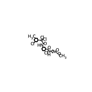 COCC(=O)N1CC(NC(=O)c2cc(NC(=O)C3C(c4cc(C)cc(Cl)c4)C3(Cl)Cl)ccc2Cl)C1